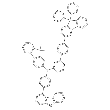 CC1(C)c2ccccc2-c2ccc(N(c3ccc(-c4cccc5oc6ccccc6c45)cc3)c3cccc(-c4ccc(-c5ccc6c(c5)-c5ccccc5C6(c5ccccc5)c5ccccc5)cc4)c3)cc21